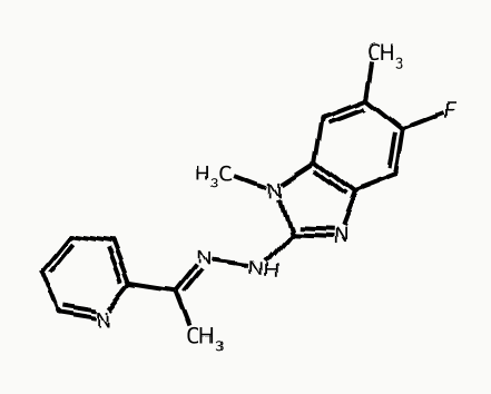 C/C(=N\Nc1nc2cc(F)c(C)cc2n1C)c1ccccn1